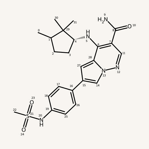 CC1CC[C@@H](Nc2c(C(N)=O)cnn3cc(-c4ccc(NS(C)(=O)=O)cc4)cc23)C1(C)C